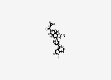 N#CC[C@@]1(n2cc(-c3ncnc4[nH]ccc34)cn2)C[C@H]2CN(C(=O)C3CC3)C[C@H]2C1